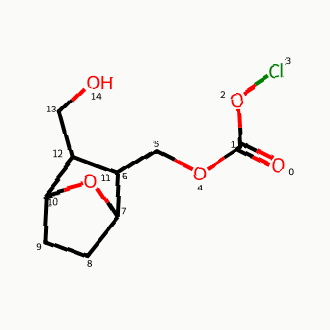 O=C(OCl)OCC1C2CCC(O2)C1CO